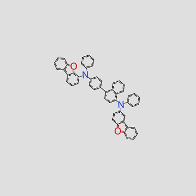 c1ccc(N(c2ccc3oc4ccccc4c3c2)c2ccc(-c3ccc(N(c4ccccc4)c4cccc5c4oc4ccccc45)cc3)c3ccccc23)cc1